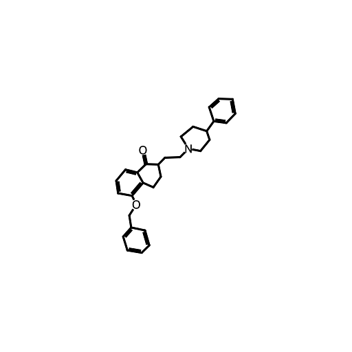 O=C1c2cccc(OCc3ccccc3)c2CCC1CCN1CCC(c2ccccc2)CC1